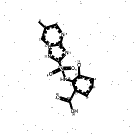 Cc1cnc2nc(S(=O)(=O)Nc3c(Cl)cccc3C(=O)O)nn2c1